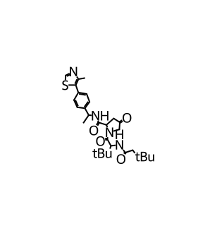 Cc1ncsc1-c1ccc(C(C)NC(=O)C2CC(=O)CN2C(=O)C(NC(=O)CC(C)(C)C)C(C)(C)C)cc1